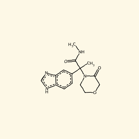 CNC(=O)C(C)(c1ccc2[nH]cnc2c1)N1CCOCC1=O